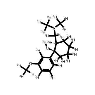 [2H]O[C@]1(c2c([2H])c([2H])c([2H])c(OC([2H])([2H])[2H])c2[2H])C([2H])([2H])C([2H])([2H])C([2H])([2H])C([2H])([2H])[C@]1([2H])C([2H])([2H])N(C([2H])([2H])[2H])C([2H])([2H])[2H]